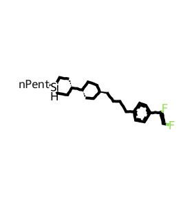 CCCCC[Si@H]1CC[C@H]([C@H]2CC[C@H](CCCCc3ccc(C(F)=CF)cc3)CC2)CC1